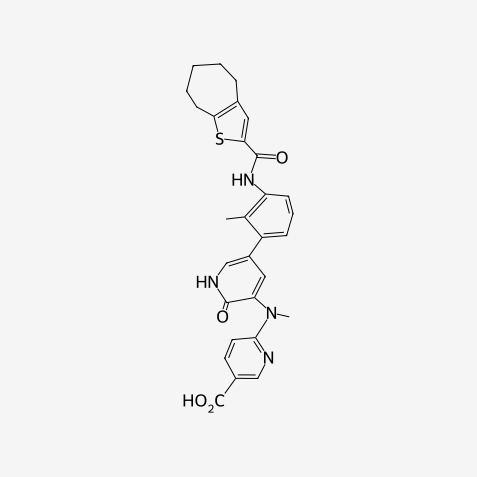 Cc1c(NC(=O)c2cc3c(s2)CCCCC3)cccc1-c1c[nH]c(=O)c(N(C)c2ccc(C(=O)O)cn2)c1